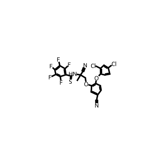 CC(C#N)(COc1cc(C#N)ccc1Oc1ccc(Cl)cc1Cl)NC(=S)c1c(F)c(F)c(F)c(F)c1F